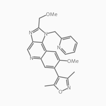 COCc1nc2cnc3cc(-c4c(C)noc4C)c(OC)cc3c2n1Cc1ccccn1